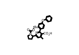 Cc1cc(C2CCCN2C(=O)OC(C)(C)C)nc(-c2ccc(Oc3ccccc3)cc2)c1C(=O)O